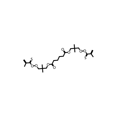 C=C(C)C(=S)OOCC(C)(C)COC(=O)CCCCC(=O)OCC(C)(C)COOC(=S)C(=C)C